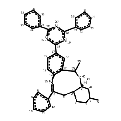 CC1CCC2C/C(c3ccccc3)=N\c3ccc(-c4nc(-c5ccccc5)nc(-c5ccccc5)n4)cc3C(C)S[C@@H]2C1